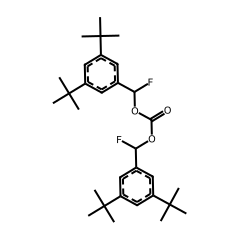 CC(C)(C)c1cc(C(F)OC(=O)OC(F)c2cc(C(C)(C)C)cc(C(C)(C)C)c2)cc(C(C)(C)C)c1